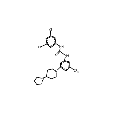 O=C(Nc1cc(Cl)cc(Cl)c1)Nc1cc(N2CCC(N3CCCC3)CC2)cc(C(F)(F)F)c1